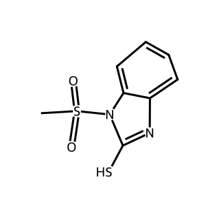 CS(=O)(=O)n1c(S)nc2ccccc21